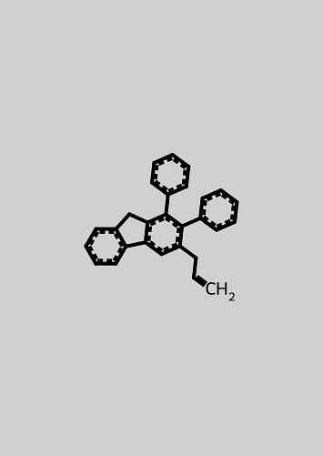 C=CCc1cc2c(c(-c3ccccc3)c1-c1ccccc1)Cc1ccccc1-2